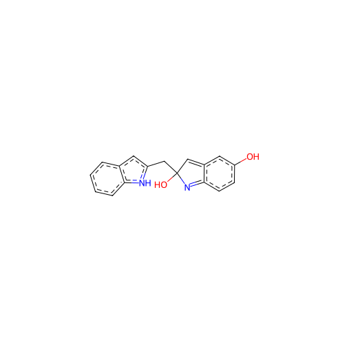 Oc1ccc2c(c1)=CC(O)(Cc1cc3ccccc3[nH]1)N=2